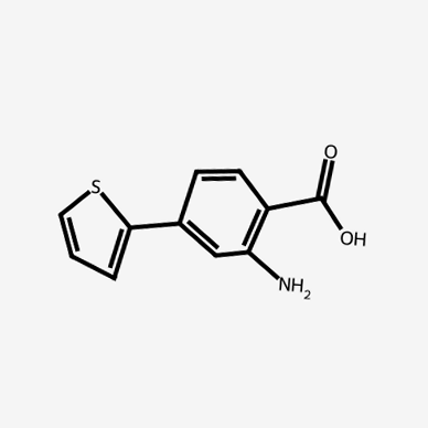 Nc1cc(-c2cccs2)ccc1C(=O)O